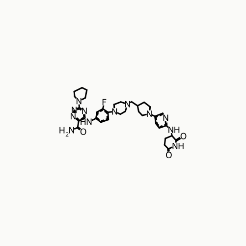 NC(=O)c1nnc(N2CCCCC2)nc1Nc1ccc(N2CCN(CC3CCN(c4ccc(NC5CCC(=O)NC5=O)nc4)CC3)CC2)c(F)c1